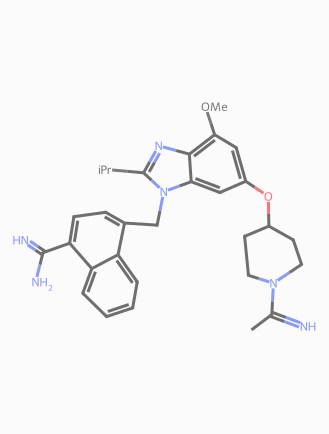 COc1cc(OC2CCN(C(C)=N)CC2)cc2c1nc(C(C)C)n2Cc1ccc(C(=N)N)c2ccccc12